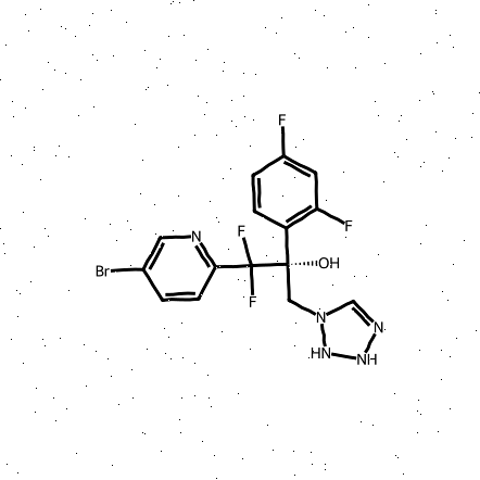 O[C@@](CN1C=NNN1)(c1ccc(F)cc1F)C(F)(F)c1ccc(Br)cn1